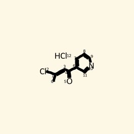 C/C(Cl)=C\C(=O)c1cccnc1.Cl